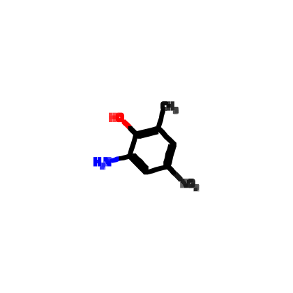 Cc1cc([N+](=O)[O-])cc(N)c1O